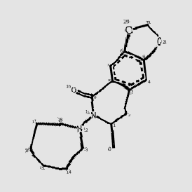 CC1Cc2cc3c(cc2C(=O)N1N1CCCCCC1)OCO3